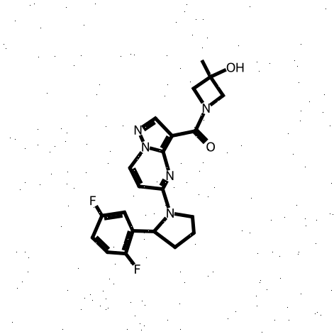 CC1(O)CN(C(=O)c2cnn3ccc(N4CCCC4c4cc(F)ccc4F)nc23)C1